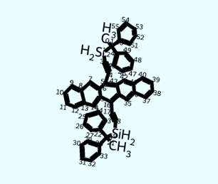 CC([SiH2]C#Cc1c2cc3ccccc3cc2c(C#C[SiH2]C(C)(c2ccccc2)c2ccccc2)c2cc3ccccc3cc12)(c1ccccc1)c1ccccc1